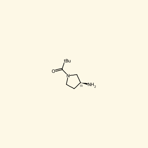 CC(C)(C)C(=O)N1CC[C@H](N)C1